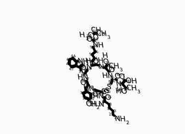 C[C@@H](O)[C@H](NC(=O)[C@@H]1CSSC[C@H](NC(=O)[C@H](N)CCCCN)C(=O)N[C@@H](Cc2ccc(O)cc2)C(=O)N[C@H](Cc2c[nH]c3ccccc23)C(=O)N[C@@H](CCCCCNC(=O)OC(C)(C)C)C(=O)N[C@@H]([C@@H](C)O)C(=O)N1)C(=O)O